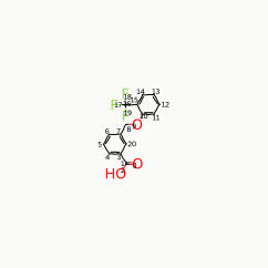 O=C(O)c1cccc(COc2ccccc2C(F)(F)F)c1